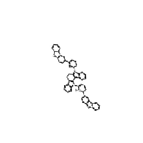 C1=CC(c2ccc3sc4ccccc4c3c2)NC(n2c3c(c4ccccc42)CCc2c-3c3ccccc3n2-c2cccc(-c3ccc4c(c3)C3C=CC=CC3S4)n2)=C1